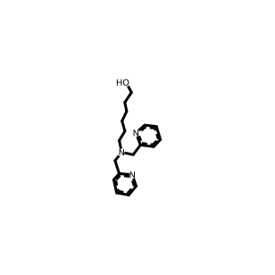 OCCCCCCN(Cc1ccccn1)Cc1ccccn1